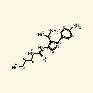 Nc1ccc(-c2nsc(NC(=O)NCCCO)c2C(N)O)cc1